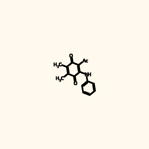 CC(=O)C1=C(Nc2ccccc2)C(=O)C(C)=C(C)C1=O